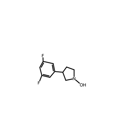 ON1CCC(c2cc(F)cc(F)c2)C1